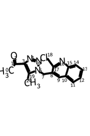 CC(=O)c1nnn(Cc2cc3ccccc3nc2Cl)c1C